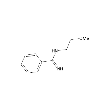 COCCNC(=N)c1ccccc1